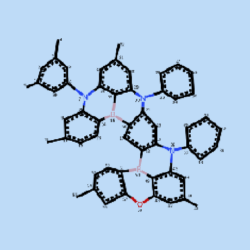 Cc1cc(C)cc(N2c3cc(C)ccc3B3c4cc5c(cc4N(c4ccccc4)c4cc(C)cc2c43)N(c2ccccc2)c2cc(C)cc3c2B5c2ccc(C)cc2O3)c1